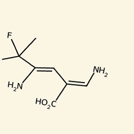 CC(C)(F)/C(N)=C/C(=C\N)C(=O)O